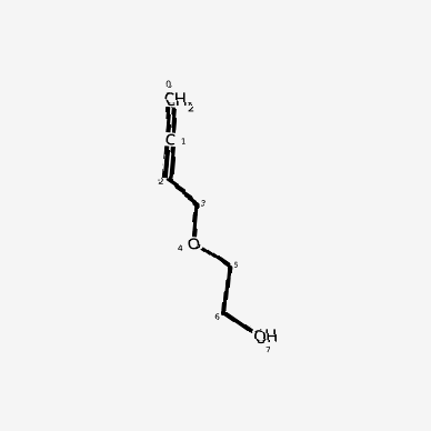 C=C=CCOCCO